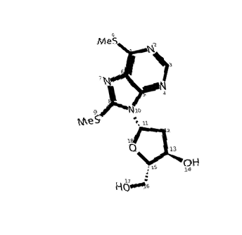 CSc1ncnc2c1nc(SC)n2[C@@H]1C[C@@H](O)[C@H](CO)O1